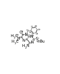 CCCCSc1nc(N)c2nc(N(C)C)c(=O)n(Cc3ccccc3)c2n1